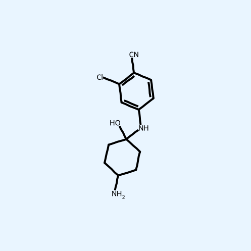 N#Cc1ccc(NC2(O)CCC(N)CC2)cc1Cl